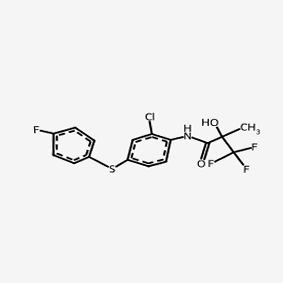 CC(O)(C(=O)Nc1ccc(Sc2ccc(F)cc2)cc1Cl)C(F)(F)F